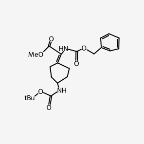 COC(=O)C(NC(=O)OCc1ccccc1)=C1CCC(NC(=O)OC(C)(C)C)CC1